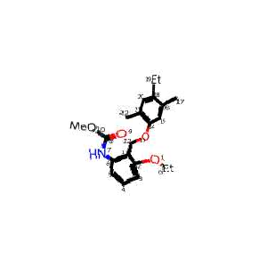 CCOc1cccc(NC(=O)OC)c1COc1cc(C)c(CC)cc1C